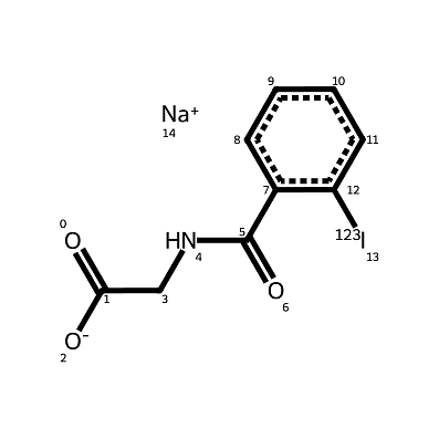 O=C([O-])CNC(=O)c1ccccc1[123I].[Na+]